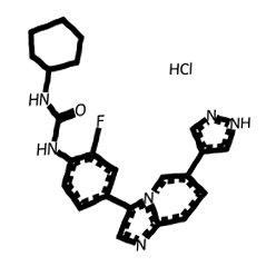 Cl.O=C(Nc1ccc(-c2cnc3ccc(-c4cn[nH]c4)cn23)cc1F)NC1CCCCC1